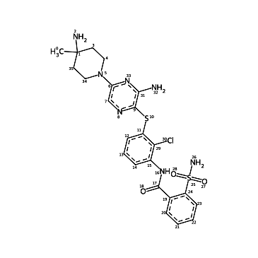 CC1(N)CCN(c2cnc(Sc3cccc(NC(=O)c4ccccc4S(N)(=O)=O)c3Cl)c(N)n2)CC1